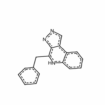 c1ccc(Cc2[nH]c3ccccc3c3cnnc2-3)cc1